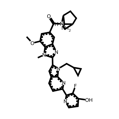 COc1cc(C(=O)N2CC3CCC2[C@@H]3N)cc2nc(-c3cc4ccc(-c5nccc(O)c5F)nc4n3CC3CC3)n(C)c12